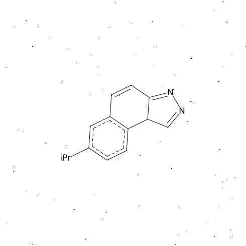 CC(C)c1ccc2c(c1)C=CC1=NN=CC12